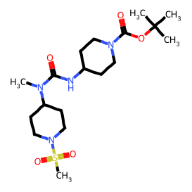 CN(C(=O)NC1CCN(C(=O)OC(C)(C)C)CC1)C1CCN(S(C)(=O)=O)CC1